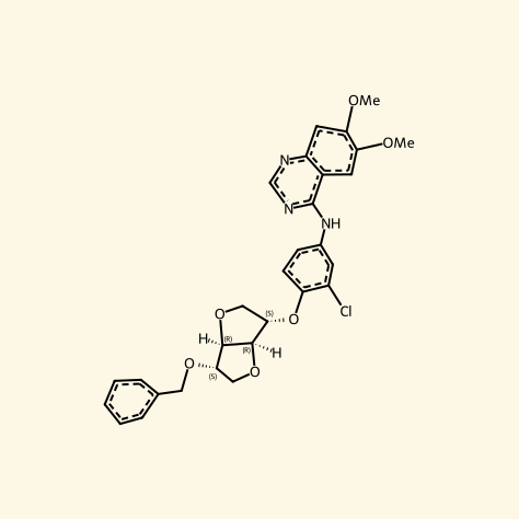 COc1cc2ncnc(Nc3ccc(O[C@H]4CO[C@H]5[C@@H]4OC[C@@H]5OCc4ccccc4)c(Cl)c3)c2cc1OC